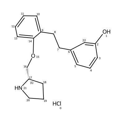 Cl.Oc1cccc(CCc2ccccc2OC[C@@H]2CCCN2)c1